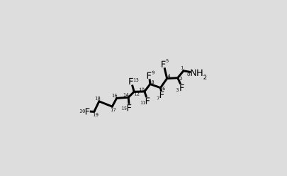 NCC(F)C(F)C(F)C(F)C(F)C(F)C(F)CCCCF